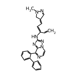 C=C/C(=C\C=C1\C=NN(C)C1)Nc1nc2c(-c3ccccc3-c3ccccc3)nccn2n1